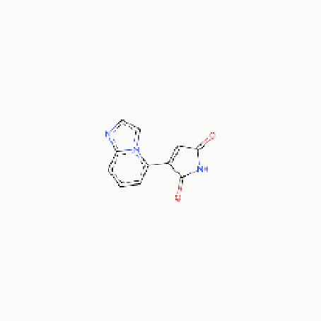 O=C1C=C(c2cccc3nccn23)C(=O)N1